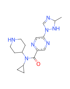 CC1N=CN(c2cnc(C(=O)N(C3CCNCC3)C3CC3)cn2)N1